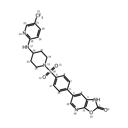 O=c1[nH]c2cc(-c3ccc(S(=O)(=O)N4CCC(Nc5ccc(C(F)(F)F)cn5)CC4)cc3)cnc2o1